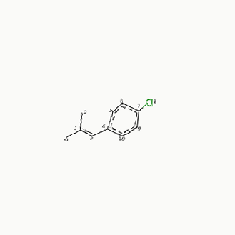 CC(C)=Cc1ccc(Cl)cc1